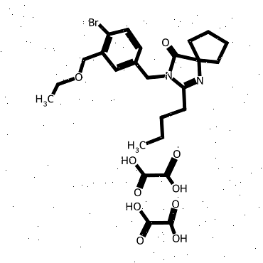 CCCCC1=NC2(CCCC2)C(=O)N1Cc1ccc(Br)c(COCC)c1.O=C(O)C(=O)O.O=C(O)C(=O)O